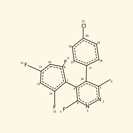 Cc1nnc(F)c(-c2c(F)cc(F)cc2F)c1-c1ccc(Cl)cc1